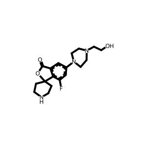 O=C1OC2(CCNCC2)c2c(F)cc(N3CCN(CCO)CC3)cc21